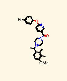 CCc1ccc(Oc2ccc(C(=O)N3CCN(C(C)c4ccc(OC)c(C)c4C)CC3)cn2)cc1